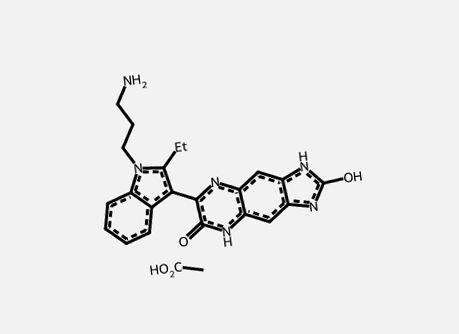 CC(=O)O.CCc1c(-c2nc3cc4[nH]c(O)nc4cc3[nH]c2=O)c2ccccc2n1CCCN